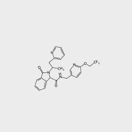 CC(Cc1ccccn1)N1C(=O)c2ccccc2C1C(=O)NCc1ccc(OCC(F)(F)F)nc1